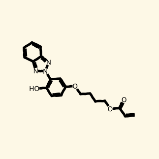 C=CC(=O)OCCCCOc1ccc(O)c(-n2nc3ccccc3n2)c1